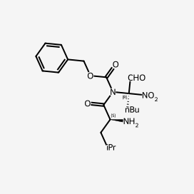 CCCC[C@@](C=O)(N(C(=O)OCc1ccccc1)C(=O)[C@@H](N)CC(C)C)[N+](=O)[O-]